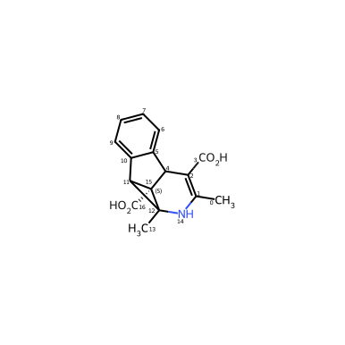 CC1=C(C(=O)O)C2c3ccccc3C3C(C)(N1)[C@]23C(=O)O